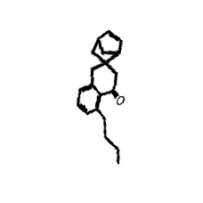 CCCCc1cccc2c1C(=O)CC1(C2)CC2C=CC1C2